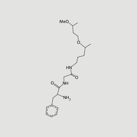 COC(C)CCOC(C)CCCNC(=O)CNC(=O)C(N)Cc1ccccc1